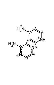 NN1C=CNC=C1.Nc1cnccn1